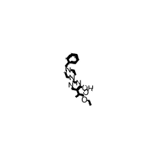 CCOC(=O)C(C)c1cnc(N2CCN(Cc3ccccc3)CC2)nc1O